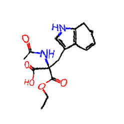 CCOC(=O)C(Cc1c[nH]c2c1C=CCC2)(NC(C)=O)C(=O)O